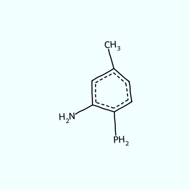 Cc1ccc(P)c(N)c1